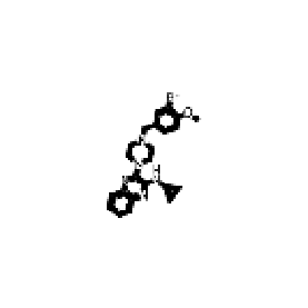 COc1ccc(CN2CCN(c3nc4ccccc4nc3NC3CC3)CC2)cc1Br